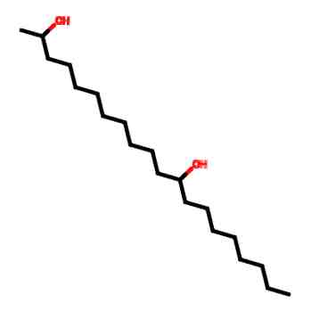 CCCCCCCCC(O)CCCCCCCCCC(C)O